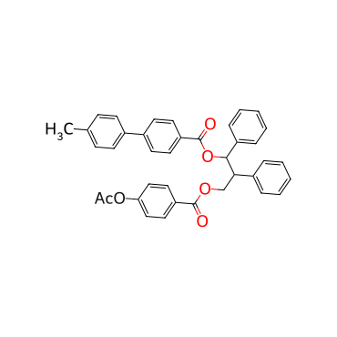 CC(=O)Oc1ccc(C(=O)OCC(c2ccccc2)C(OC(=O)c2ccc(-c3ccc(C)cc3)cc2)c2ccccc2)cc1